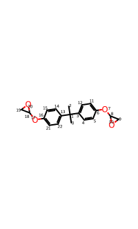 CC(C)(c1ccc(OC2CO2)cc1)c1ccc(OC2CO2)cc1